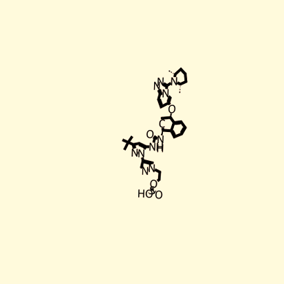 C[C@@H]1CCC[C@H](C)N1c1nnc2ccc(O[C@@H]3CC[C@H](NC(=O)Nc4cc(C(C)(C)C)nn4-c4cnn(CCOS(=O)O)c4)c4ccccc43)cn12